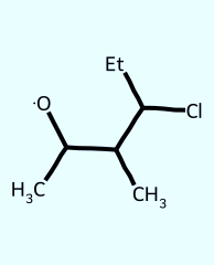 CCC(Cl)C(C)C(C)[O]